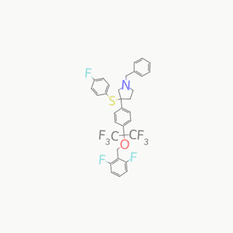 Fc1ccc(SC2(c3ccc(C(OCc4c(F)cccc4F)(C(F)(F)F)C(F)(F)F)cc3)CCN(Cc3ccccc3)C2)cc1